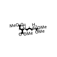 COC(=O)CC(NCCC[SiH2]C(OC)OC)C(=O)OC